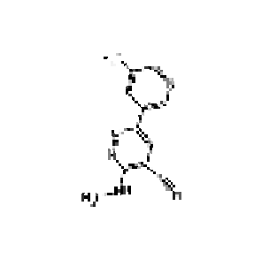 CNc1nnc(-c2cncc(C)c2)cc1C#N